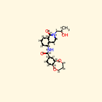 CC(O)Cn1ccc2c(NC(=O)c3ccc4c(c3)OCCCO4)cccc2c1=O